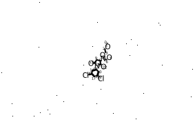 COCCON(C=O)C1CC(=O)N(c2cc(Cl)cc(Cl)c2)C1=O